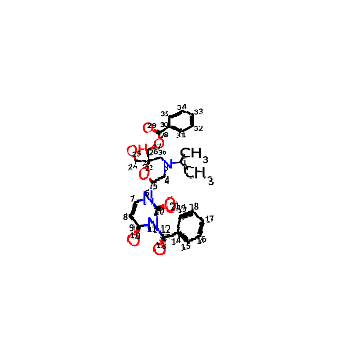 CC(C)N1C[C@H](n2ccc(=O)n(C(=O)c3ccccc3)c2=O)O[C@](CO)(COC(=O)c2ccccc2)C1